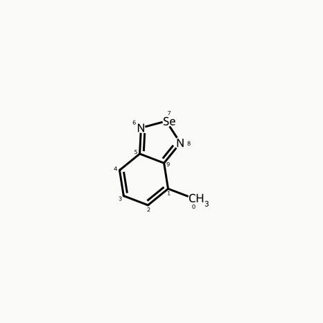 Cc1cccc2n[se]nc12